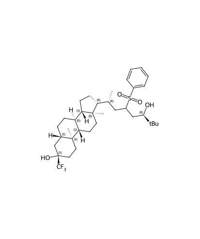 C[C@H](CC(C[C@@H](O)C(C)(C)C)S(=O)(=O)c1ccccc1)[C@H]1CC[C@H]2[C@@H]3CC[C@H]4C[C@](O)(C(F)(F)F)CC[C@]4(C)[C@H]3CC[C@]12C